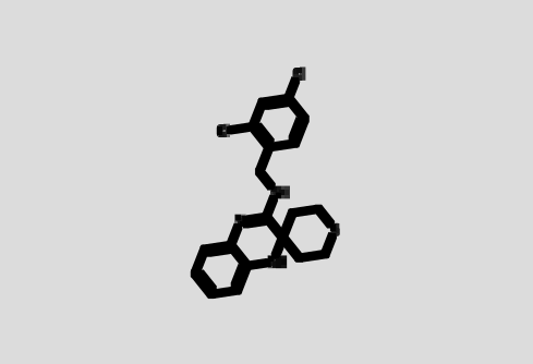 Clc1ccc(CNC2=Nc3ccccc3NC23CCSCC3)c(Cl)c1